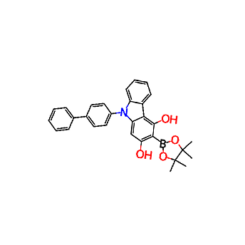 CC1(C)OB(c2c(O)cc3c(c2O)c2ccccc2n3-c2ccc(-c3ccccc3)cc2)OC1(C)C